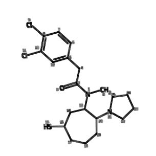 CN(C(=O)Cc1ccc(Cl)c(Cl)c1)C1CC(S)CCCC1N1CCCC1